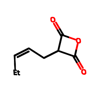 CC/C=C\CC1C(=O)OC1=O